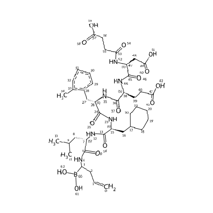 C=CCC(NC(=O)[C@H](CC(C)C)NC(=O)[C@H](CC1CCCCC1)NC(=O)[C@H](Cc1ccccc1C)NC(=O)[C@H](CCC(=O)O)NC(=O)[C@H](CC(=O)O)NC(=O)CCC(=O)O)B(O)O